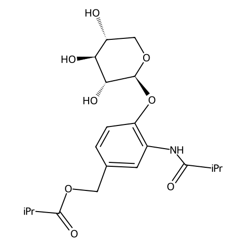 CC(C)C(=O)Nc1cc(COC(=O)C(C)C)ccc1O[C@@H]1OC[C@@H](O)[C@H](O)[C@H]1O